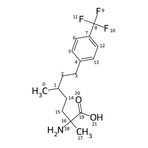 CC(CCc1ccc(C(F)(F)F)cc1)CCC(C)(N)C(=O)O